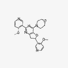 COc1ccncc1-c1nc2c(c(N3CCOCC3)n1)OC(c1cnccc1OC)C2